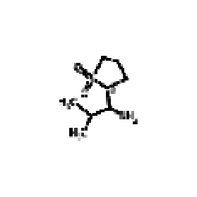 CC(C)C(N)[C@@H]1CCCS1(=O)=O